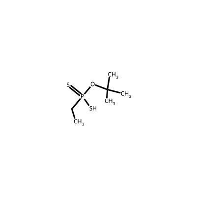 CCP(=S)(S)OC(C)(C)C